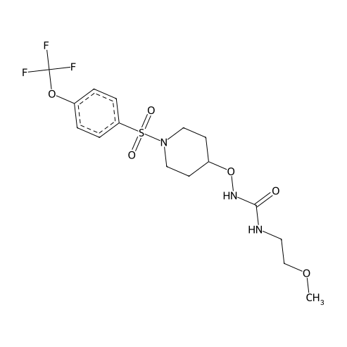 COCCNC(=O)NOC1CCN(S(=O)(=O)c2ccc(OC(F)(F)F)cc2)CC1